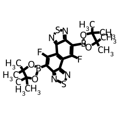 CC1(C)OB(c2c(F)c3c4nsnc4c(B4OC(C)(C)C(C)(C)O4)c(F)c3c3nsnc23)OC1(C)C